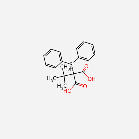 CC(C)(C)C(C(=O)O)(C(=O)O)[SiH](c1ccccc1)c1ccccc1